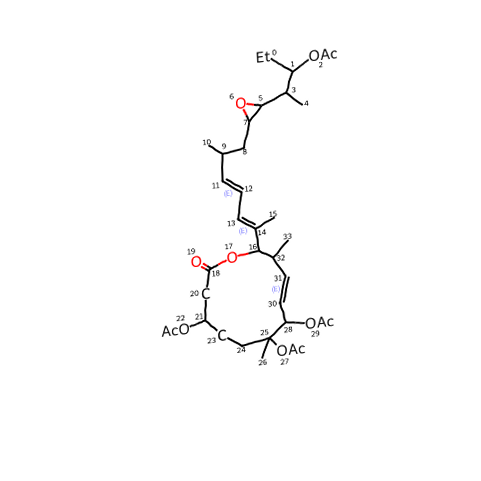 CCC(OC(C)=O)C(C)C1OC1CC(C)/C=C/C=C(\C)C1OC(=O)CC(OC(C)=O)CCC(C)(OC(C)=O)C(OC(C)=O)/C=C/C1C